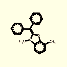 Cc1cccc2c1SC(=C(c1ccccc1)c1ccccc1)N2C